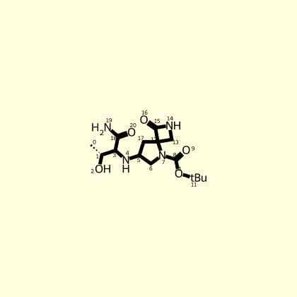 C[C@@H](O)C(NC1CN(C(=O)OC(C)(C)C)C2(CNC2=O)C1)C(N)=O